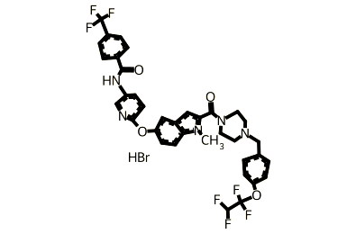 Br.Cn1c(C(=O)N2CCN(Cc3ccc(OC(F)(F)C(F)F)cc3)CC2)cc2cc(Oc3ccc(NC(=O)c4ccc(C(F)(F)F)cc4)cn3)ccc21